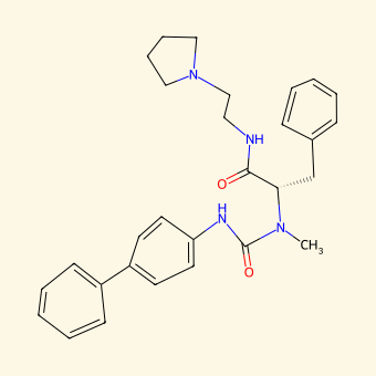 CN(C(=O)Nc1ccc(-c2ccccc2)cc1)[C@@H](Cc1ccccc1)C(=O)NCCN1CCCC1